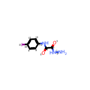 NNC(=O)C(=O)Nc1ccc(I)cc1